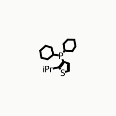 CC(C)c1sccc1P(C1CCCCC1)C1CCCCC1